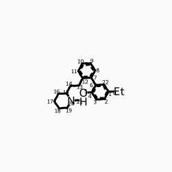 CCc1ccc(O)c(-c2ccccc2CCC2CCCCN2C)c1